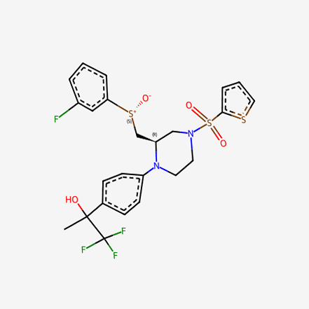 CC(O)(c1ccc(N2CCN(S(=O)(=O)c3cccs3)C[C@@H]2C[S@@+]([O-])c2cccc(F)c2)cc1)C(F)(F)F